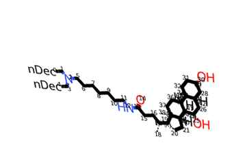 CCCCCCCCCCCN(CCCCCCCCCCC)CCCCCCCNC(=O)CC[C@@H](C)[C@H]1CC[C@H]2[C@@H]3[C@@H](O)C[C@@H]4C[C@H](O)CC[C@]4(C)[C@H]3CC[C@]12C